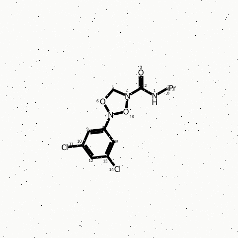 CC(C)NC(=O)N1CON(c2cc(Cl)cc(Cl)c2)O1